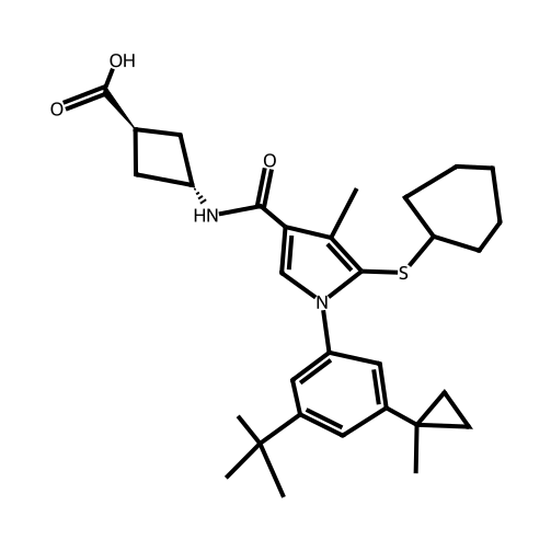 Cc1c(C(=O)N[C@H]2C[C@H](C(=O)O)C2)cn(-c2cc(C(C)(C)C)cc(C3(C)CC3)c2)c1SC1CCCCC1